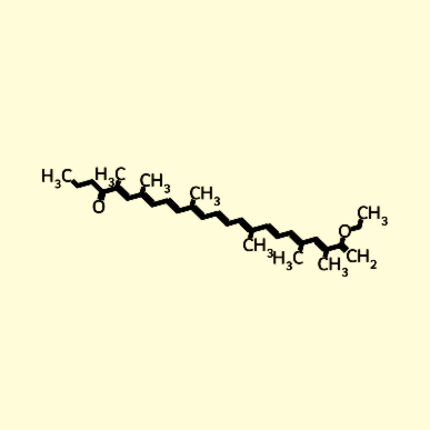 C=C(OCC)/C(C)=C/C(C)=C/C=C/C(C)=C/C=C/C=C(C)/C=C/C=C(C)/C=C(\C)C(=O)CCC